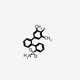 Cc1cc(-c2ccccc2-c2ccccc2S(N)(=O)=O)cc(C)c1F